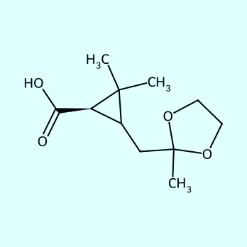 CC1(CC2[C@@H](C(=O)O)C2(C)C)OCCO1